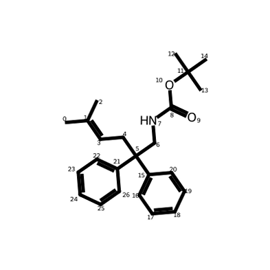 CC(C)=CCC(CNC(=O)OC(C)(C)C)(c1ccccc1)c1ccccc1